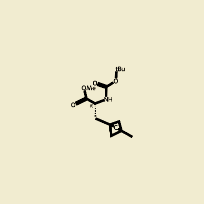 COC(=O)[C@@H](CC12CC(C)(C1)C2)NC(=O)OC(C)(C)C